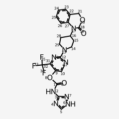 O=C(Nc1nc[nH]n1)Oc1cnc(N2CCC(N3C(=O)OCc4ccccc43)CC2)nc1C(F)(F)F